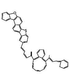 C=C(/C=C\C=C\c1ccc2sc3c(ccc4c3ccc3oc5ccccc5c34)c2c1)c1ccccccc(/C(C)=C/C=C2/C=CC=CC2)c2ccccc12